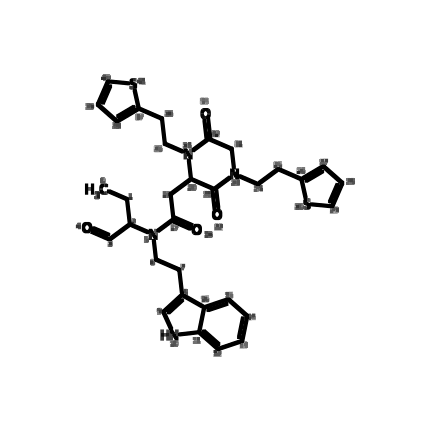 CCC(C=O)N(CCc1c[nH]c2ccccc12)C(=O)CC1C(=O)N(CCc2cccs2)CC(=O)N1CCc1cccs1